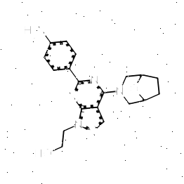 Nc1ccc(-c2nc(N3CC4CCC(C3)O4)c3cnn(CCO)c3n2)cc1